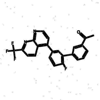 CC(=O)c1cccc(-c2cc(-c3ccnc4nc(C(F)(F)F)ccc34)ccc2F)c1